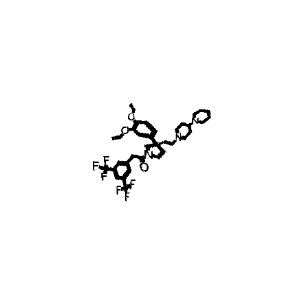 CCOc1ccc([C@]2(CCN3CCC(N4CCCCC4)CC3)CCN(C(=O)Cc3cc(C(F)(F)F)cc(C(F)(F)F)c3)C2)cc1OCC